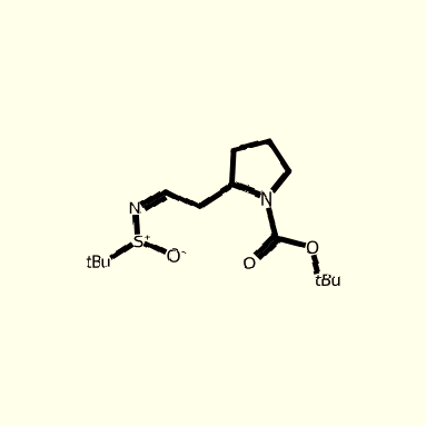 CC(C)(C)OC(=O)N1CCCC1C/C=N\[S+]([O-])C(C)(C)C